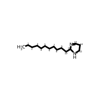 CCCCCCCCCCCC1N=CCCN1